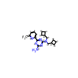 Nc1nc(-c2cccc(C(F)(F)F)n2)nc(N(CC2CCC2)CC2CCC2)n1